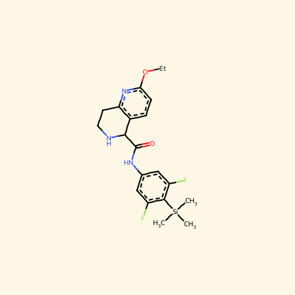 CCOc1ccc2c(n1)CCNC2C(=O)Nc1cc(F)c([Si](C)(C)C)c(F)c1